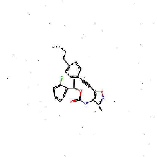 Cc1noc(C#Cc2ccc(CCC(=O)O)cc2)c1NC(=O)OC(C)c1ccccc1Cl